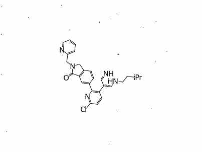 CC(C)CCN/C=C(\C=N)c1ccc(Cl)nc1-c1ccc2c(c1)C(=O)N(Cc1ccccn1)C2